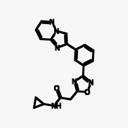 O=C(Cc1nc(-c2cccc(-c3cn4ncccc4n3)c2)no1)NC1CC1